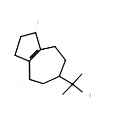 C[C@H]1CCC2=C1CCC(C(C)(C)O)C[C@@H]2C